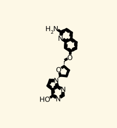 Nc1ccc2ccc(OC[C@@H]3CC[C@H](n4ccc5c(O)ncnc54)O3)cc2n1